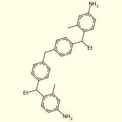 CCC(c1ccc(Cc2ccc(C(CC)c3ccc(N)cc3C)cc2)cc1)c1ccc(N)cc1C